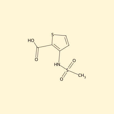 CS(=O)(=O)Nc1ccsc1C(=O)O